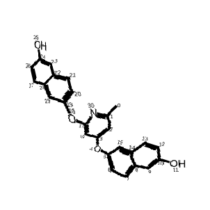 Cc1cc(Oc2ccc3cc(O)ccc3c2)cc(Oc2ccc3cc(O)ccc3c2)n1